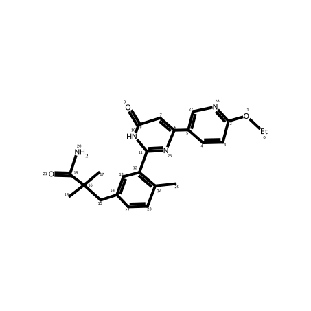 CCOc1ccc(-c2cc(=O)[nH]c(-c3cc(CC(C)(C)C(N)=O)ccc3C)n2)cn1